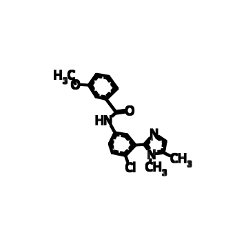 COc1cccc(C(=O)Nc2ccc(Cl)c(-c3ncc(C)n3C)c2)c1